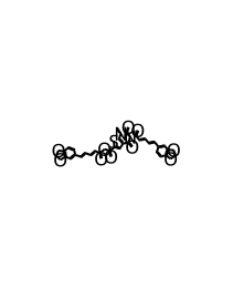 Cn1c(=O)n(C(=O)C=CC=Cc2ccc3c(c2)OCO3)c(=O)c2cc(C(=O)OC(=O)C=C/C=C/c3ccc4c(c3)OCO4)sc21